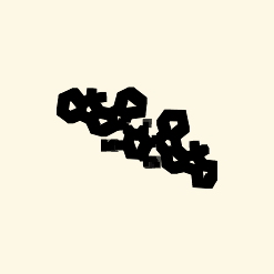 CC1(C)c2ccccc2-c2ccc3c(c21)c1ccccc1n3-c1c(C#N)cc(C#N)c(-n2c3ccccc3c3c4c(ccc32)-c2ccccc2C4(C)C)c1F